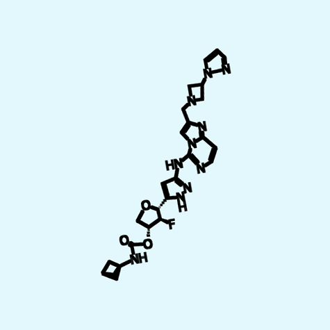 O=C(NC12CC(C1)C2)O[C@@H]1CO[C@H](c2cc(Nc3nccc4nc(CN5CC(n6cccn6)C5)cn34)n[nH]2)[C@H]1F